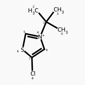 CC(C)(C)[n+]1csc(Cl)c1